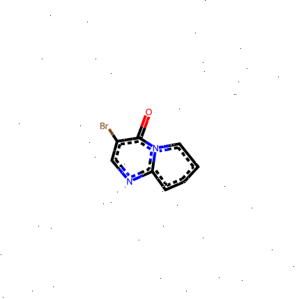 O=c1c(Br)cnc2ccccn12